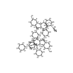 Cc1ccc2c(c1)c1cc(C)ccc1n2-c1ccc(-c2nc(-c3ccccc3)nc(-c3ccccc3)n2)cc1-c1cc(-c2ccccc2C#N)ccc1-n1c2ccc(C)cc2c2cc(C)ccc21